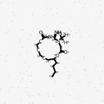 [2H]C([2H])([2H])N1CC(=O)OC(CCCC)CCCCCCC(=O)NC1=N